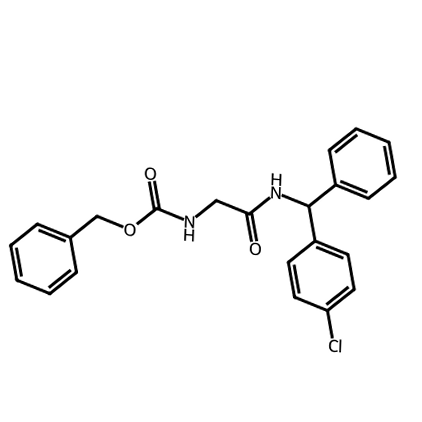 O=C(CNC(=O)OCc1ccccc1)NC(c1ccccc1)c1ccc(Cl)cc1